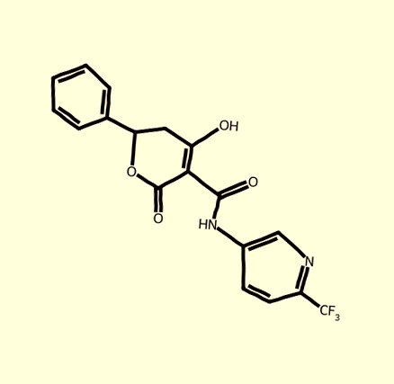 O=C(Nc1ccc(C(F)(F)F)nc1)C1=C(O)CC(c2ccccc2)OC1=O